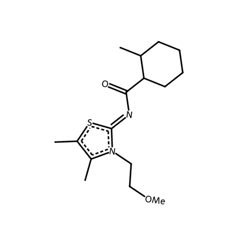 COCCn1c(C)c(C)s/c1=N\C(=O)C1CCCCC1C